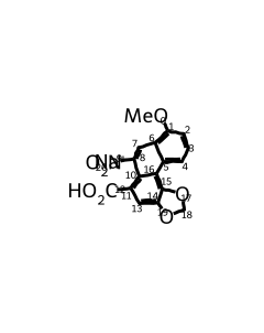 COc1cccc2c1cc([N+](=O)[O-])c1c(C(=O)O)cc3c(c12)OCO3.[Na+]